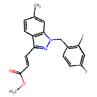 COC(=O)C=Cc1nn(Cc2ccc(F)cc2F)c2cc(C)ccc12